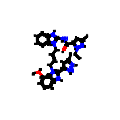 CCn1nc(C)cc1C(=O)Nc1nc2ccccc2n1C/C=C/Cn1c(-c2cc(C)n[nH]2)nc2cccc(OC)c21